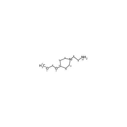 COCOC1CCN(CCN)CC1